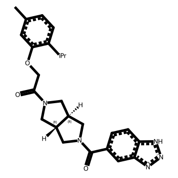 Cc1ccc(C(C)C)c(OCC(=O)N2C[C@H]3CN(C(=O)c4ccc5[nH]nnc5c4)C[C@@H]3C2)c1